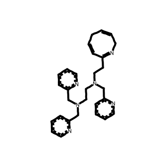 C1=C\C/N=C(CCN(CCN(Cc2ccccn2)Cc2ccccn2)Cc2ccccn2)\C=C/C/1